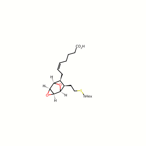 CCCCCCSCC[C@@H]1[C@H](C/C=C\CCCC(=O)O)[C@H]2O[C@@H]1[C@H]1O[C@H]12